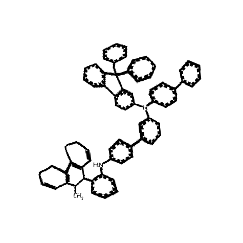 CC1C2=C(CCC=C2)C2=C(C=CCC2)C1c1ccccc1Nc1ccc(-c2cccc(N(c3ccc(-c4ccccc4)cc3)c3ccc4c(c3)C(c3ccccc3)(c3ccccc3)c3ccccc3-4)c2)cc1